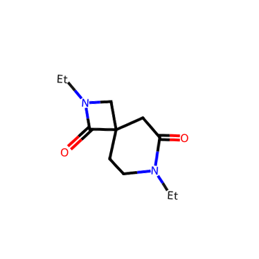 CCN1CCC2(CC1=O)CN(CC)C2=O